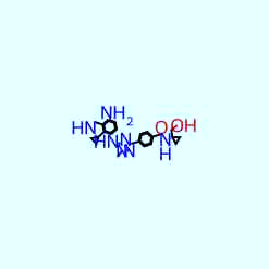 Cn1nc(-c2ccc(C(=O)NC3(CO)CC3)cc2)nc1Nc1ccc(N)c(C=N)c1C1CC1